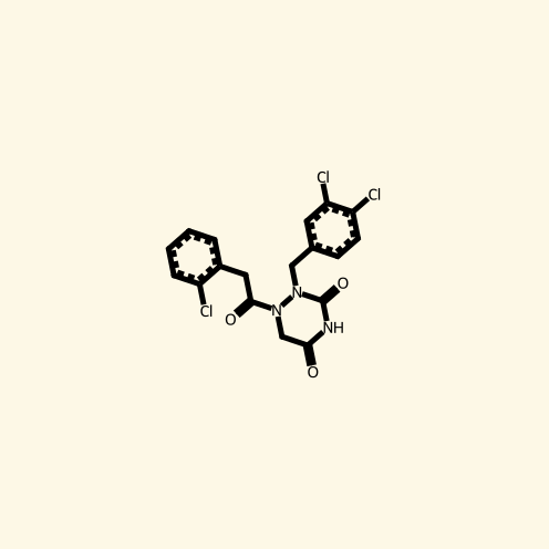 O=C1CN(C(=O)Cc2ccccc2Cl)N(Cc2ccc(Cl)c(Cl)c2)C(=O)N1